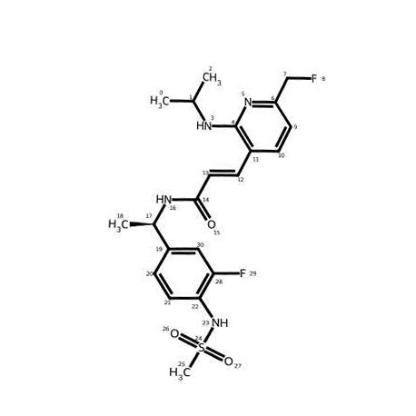 CC(C)Nc1nc(CF)ccc1/C=C/C(=O)N[C@H](C)c1ccc(NS(C)(=O)=O)c(F)c1